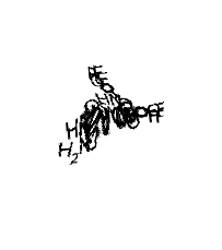 NC(=O)c1n[nH]c(=O)c2sc(N3CCN(S(=O)(=O)c4ccc(OC(F)(F)F)cc4)C(C(=O)NCc4ccc(OC(F)(F)F)cc4)C3)nc12